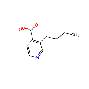 CCCCc1cnccc1C(=O)O